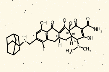 CN(C)[C@@H]1C(O)=C(C(N)=O)C(=O)[C@@]2(O)C(O)=C3C(=O)c4c(O)cc(CNC56CC7CC(CC(C7)C5)C6)c(F)c4C[C@H]3C[C@@H]12